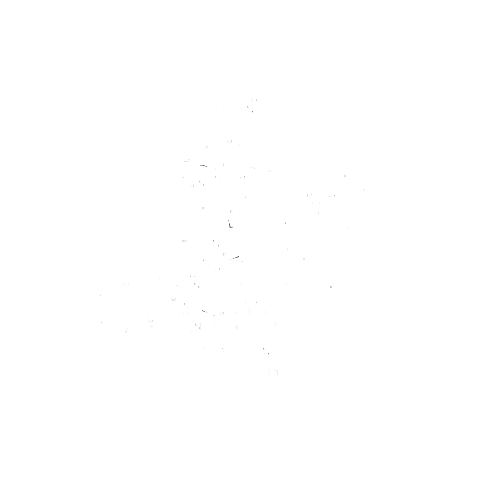 CC(C)NCC(O)COc1cccc2ccccc12.CN1C[C@H](C(=O)N[C@]2(C)O[C@@]3(O)[C@@H]4CCCN4C(=O)[C@H](Cc4ccccc4)N3C2=O)C=C2c3cccc4[nH]cc(c34)C[C@H]21.Cl.O=C(O)C(O)C(O)C(=O)O